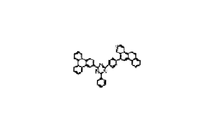 c1ccc(-c2nc(-c3ccc(-c4cc5c6ccccc6ccc5c5ccncc45)cc3)nc(-c3ccc4c5ccccc5c5ccccc5c4c3)n2)cc1